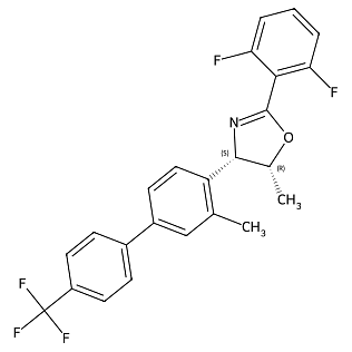 Cc1cc(-c2ccc(C(F)(F)F)cc2)ccc1[C@@H]1N=C(c2c(F)cccc2F)O[C@@H]1C